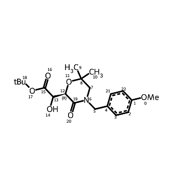 COc1ccc(CN2CC(C)(C)O[C@H](C(O)C(=O)OC(C)(C)C)C2=O)cc1